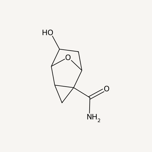 NC(=O)C12CC1C1OC2CC1O